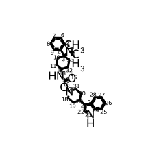 CN(C)C1(c2ccccc2)CCC(NC(=O)ON2CCC(c3c[nH]c4ccccc34)CC2)CC1